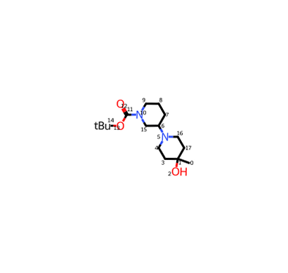 CC1(O)CCN(C2CCCN(C(=O)OC(C)(C)C)C2)CC1